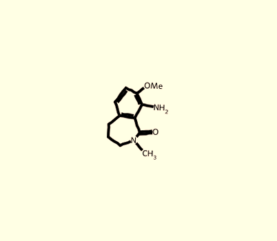 COc1ccc2c(c1N)C(=O)N(C)CCC2